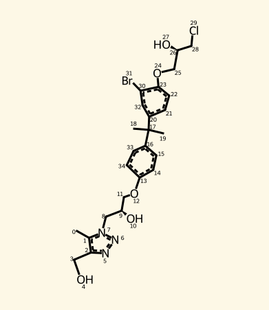 Cc1c(CO)nnn1C[C@H](O)COc1ccc(C(C)(C)c2ccc(OC[C@@H](O)CCl)c(Br)c2)cc1